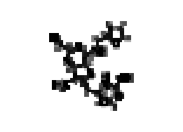 Cc1c(C[C@H](C)NC(=O)O)sc2c(NCc3ccco3)nc(C#N)nc12